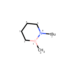 CB1CCCCN1C(C)(C)C